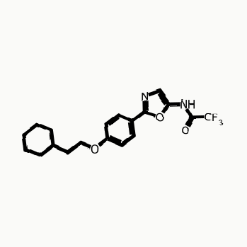 O=C(Nc1cnc(-c2ccc(OCCC3CCCCC3)cc2)o1)C(F)(F)F